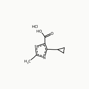 Cc1nc(C2CC2)c(C(=O)O)s1.Cl